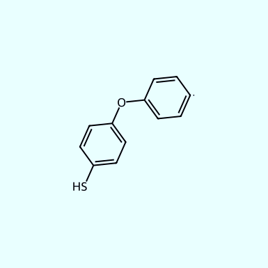 Sc1ccc(Oc2cc[c]cc2)cc1